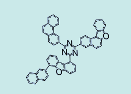 c1ccc2cc(-c3cccc4c3oc3cccc(-c5nc(-c6ccc7c(ccc8oc9ccccc9c87)c6)nc(-c6ccc7ccc8ccccc8c7c6)n5)c34)ccc2c1